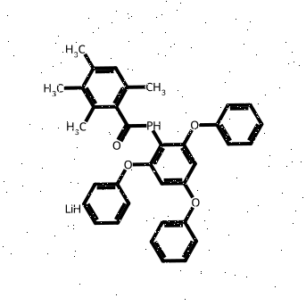 Cc1cc(C)c(C(=O)Pc2c(Oc3ccccc3)cc(Oc3ccccc3)cc2Oc2ccccc2)c(C)c1C.[LiH]